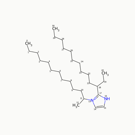 CCCCCCCCCCCC(C)[n+]1cc[nH]c1C(CC)CCCCCCCCCC